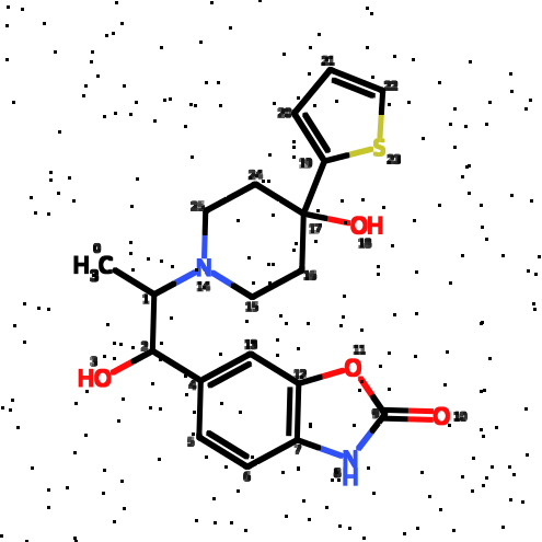 CC(C(O)c1ccc2[nH]c(=O)oc2c1)N1CCC(O)(c2cccs2)CC1